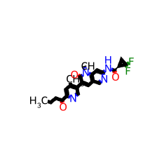 CCCC(=O)c1cc(C)c(-c2cc3cnc(NC(=O)[C@H]4CC4(F)F)cc3n(C)c2=O)cn1